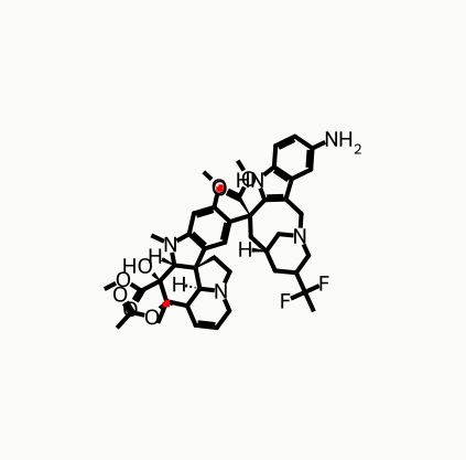 CC[C@]12C=CCN3CC[C@@]4(c5cc([C@@]6(C(=O)OC)C[C@H]7CC(C(C)(F)F)CN(Cc8c6[nH]c6ccc(N)cc86)C7)c(OC)cc5N(C)[C@H]4[C@@](O)(C(=O)OC)[C@@H]1OC(C)=O)[C@@H]32